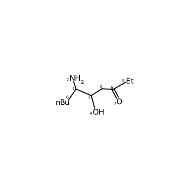 CCCCC(N)C(O)CC(=O)CC